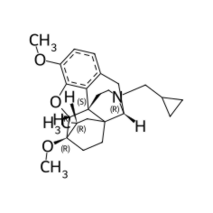 COc1ccc2c3c1O[C@H]1[C@@]4(OC)CCC5(C[C@H]4C)[C@@H](C2)N(CC2CC2)CC[C@]315